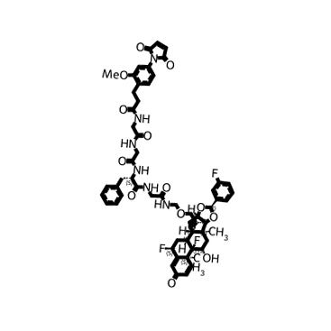 COc1cc(N2C(=O)C=CC2=O)ccc1CCC(=O)NCC(=O)NCC(=O)N[C@@H](Cc1ccccc1)C(=O)NCC(=O)NCOCC(=O)[C@@]12O[C@H](c3cccc(F)c3)O[C@@H]1C[C@H]1[C@@H]3C[C@H](F)C4=CC(=O)C=C[C@]4(C)[C@@]3(F)[C@@H](O)C[C@@]12C